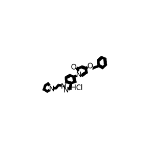 Cl.O=c1cc(OCc2ccccc2)ccn1-c1ccc2c(cnn2CCN2CCCC2)c1